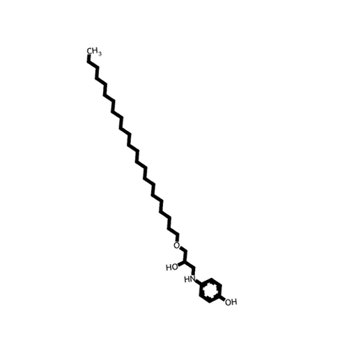 CCCCCCCCCCCCCCCCCCCCCCCOCC(O)CNc1ccc(O)cc1